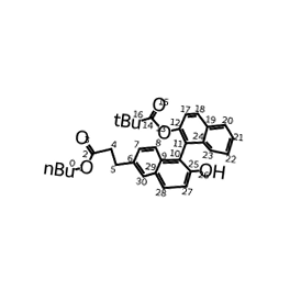 CCCCOC(=O)CCc1ccc2c(-c3c(OC(=O)C(C)(C)C)ccc4ccccc34)c(O)ccc2c1